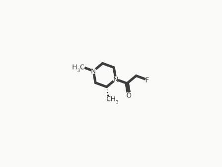 C[C@@H]1CN(C)CCN1C(=O)CF